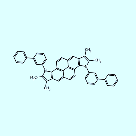 Cc1c(C)n(-c2cccc(-c3ccccc3)c2)c2c1cc1ccc3c4c(ccc2c14)cc1c(C)c(C)n(-c2cccc(-c4ccccc4)c2)c13